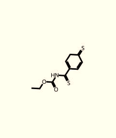 CCOC(=O)NC(=S)C1=CCC(=S)C=C1